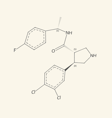 C[C@H](NC(=O)[C@@H]1CNC[C@H]1c1ccc(Cl)c(Cl)c1)c1ccc(F)cc1